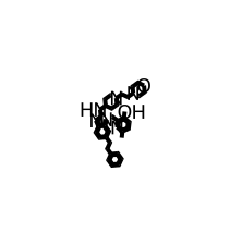 Cc1ccc(O)c(Cn2c(NC3CCN(CCN4CCOCC4)CC3)nc3ccc(CCc4ccccc4)cc32)n1